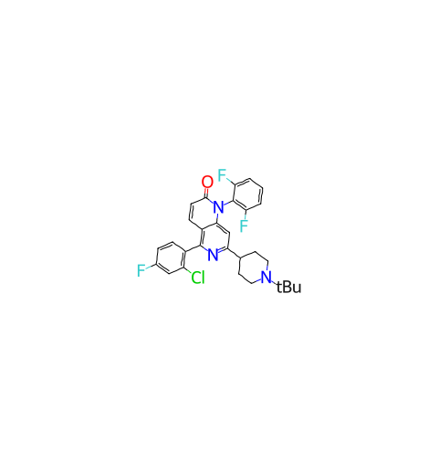 CC(C)(C)N1CCC(c2cc3c(ccc(=O)n3-c3c(F)cccc3F)c(-c3ccc(F)cc3Cl)n2)CC1